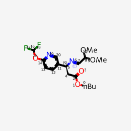 CCCCOC(=O)C[C@H](/N=C/C(OC)OC)c1ccc(OC(F)F)nc1